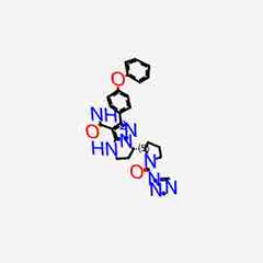 NC(=O)c1c(-c2ccc(Oc3ccccc3)cc2)nn2c1NCCC2[C@@H]1CCCN1C(=O)n1cncn1